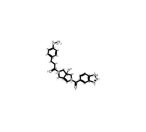 O=C(c1ccc2[nH]nnc2c1)N1C=C2CN(C(=O)CCc3ccc(OC(F)(F)F)cc3)C[C@@H]2C1